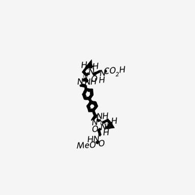 COC(=O)NCC(=O)N1[C@H](c2ncc(-c3ccc(-c4ccc(-c5cnc([C@@H]6C[C@@H]7C[C@@H]7N6C(=O)CNC(=O)O)[nH]5)cc4)cc3)[nH]2)C[C@H]2C[C@@H]21